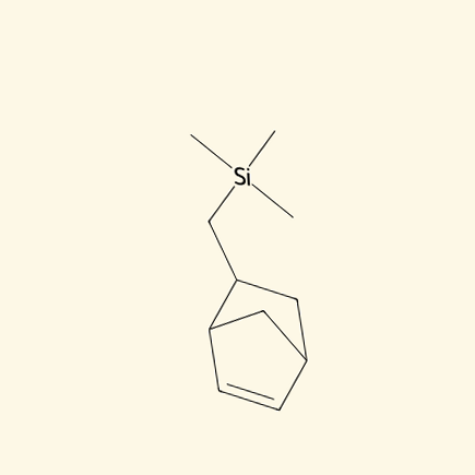 C[Si](C)(C)CC1CC2C=CC1C2